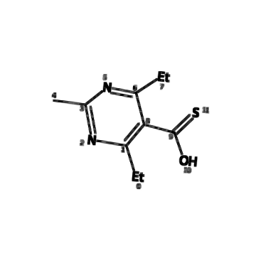 CCc1nc(C)nc(CC)c1C(O)=S